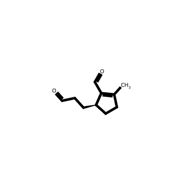 CC1=C(C=O)[C@H](CCC=O)CC1